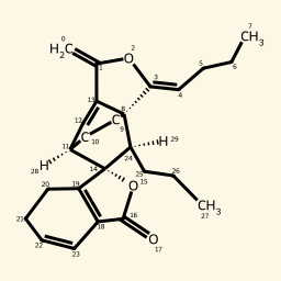 C=C1O/C(=C\CCC)[C@]23CC[C@H](C=C12)[C@@]1(OC(=O)C2=C1CCC=C2)[C@@H]3CCC